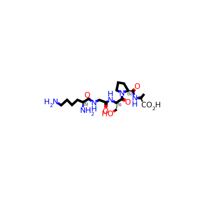 C[C@H](NC(=O)[C@@H]1CCCN1C(=O)[C@H](CO)NC(=O)CNC(=O)[C@@H](N)CCCCN)C(=O)O